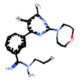 CCCc1c(C)nc(N2CCOCC2)nc1-c1cccc(C(=N)N(C)CCC(C)C)c1